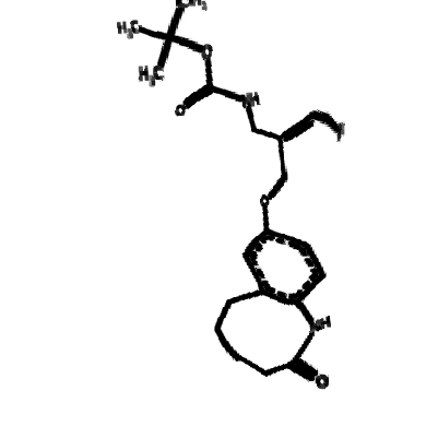 CC(C)(C)OC(=O)NC/C(=C/F)COc1ccc2c(c1)CCCCC(=O)N2